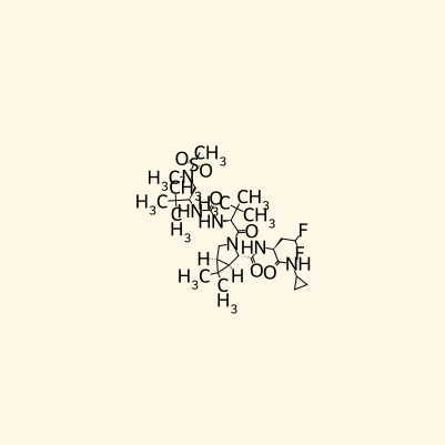 CN(C[C@@H](NC(=O)N[C@H](C(=O)N1C[C@H]2[C@@H]([C@H]1C(=O)N[C@@H](CC(F)F)C(=O)NC1CC1)C2(C)C)C(C)(C)C)C(C)(C)C)S(C)(=O)=O